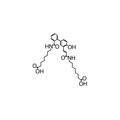 O=C(O)CCCCCCCNC(=O)/C=C/c1cc(-c2ccccc2C(=O)NCCCCCCCC(=O)O)ccc1O